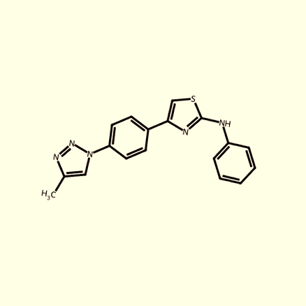 Cc1cn(-c2ccc(-c3csc(Nc4ccccc4)n3)cc2)nn1